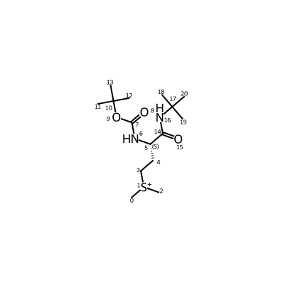 C[S+](C)CC[C@H](NC(=O)OC(C)(C)C)C(=O)NC(C)(C)C